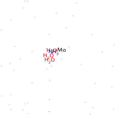 N.O.O.O.[Mo]